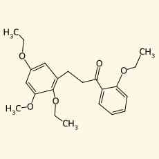 CCOc1cc(CCC(=O)c2ccccc2OCC)c(OCC)c(OC)c1